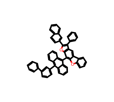 c1ccc(-c2cccc(-c3c4ccccc4c(-c4c5oc(-c6ccc7ccccc7c6)c(-c6ccccc6)c5cc5c4oc4ccccc45)c4ccccc34)c2)cc1